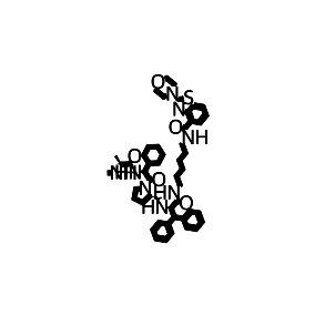 CN[C@@H](C)C(=O)N[C@H](C(=O)N1CCC[C@H]1CN[C@H](C(=O)NCCCCCCNC(=O)c1cccc2sc(N3CCOCC3)nc12)C(c1ccccc1)c1ccccc1)C1CCCCC1